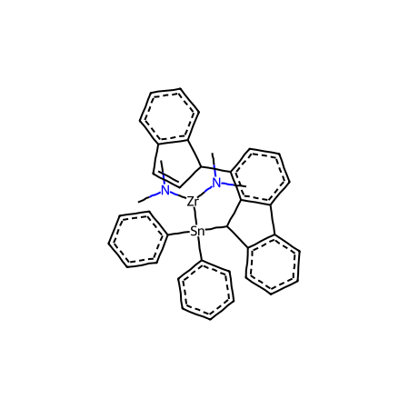 C[N](C)[Zr]([N](C)C)[Sn]([c]1ccccc1)([c]1ccccc1)[CH]1c2ccccc2-c2cccc(C3C=Cc4ccccc43)c21